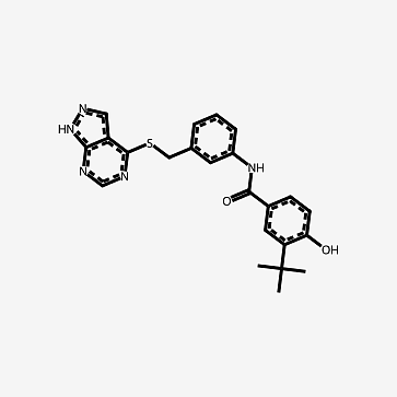 CC(C)(C)c1cc(C(=O)Nc2cccc(CSc3ncnc4[nH]ncc34)c2)ccc1O